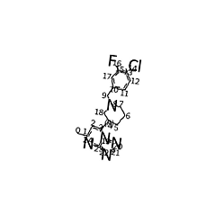 Cc1cc([C@@H]2CCCN(Cc3ccc(Cl)c(F)c3)C2)n2ncnc2n1